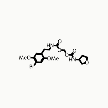 COc1cc(CCNC(=O)OCOC(=O)NC2CCOC2)c(OC)cc1Br